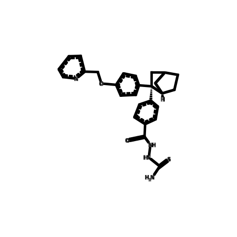 NC(=S)NNC(=O)c1ccc([C@]2(c3ccc(OCc4ccccn4)cc3)CC3CC[C@@H]2C3)cc1